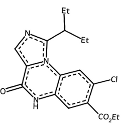 CCOC(=O)c1cc2[nH]c(=O)c3cnc(C(CC)CC)n3c2cc1Cl